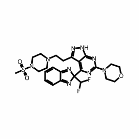 CS(=O)(=O)N1CCN(CCc2n[nH]c3nc(N4CCOCC4)nc(C4(C(F)F)N=c5ccccc5=N4)c23)CC1